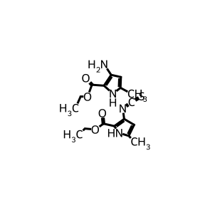 CCOC(=O)c1[nH]c(C)cc1N.CCOC(=O)c1[nH]c(C)cc1N=C=S